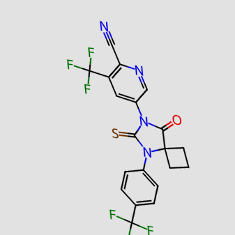 N#Cc1ncc(N2C(=O)C3(CCC3)N(c3ccc(C(F)(F)F)cc3)C2=S)cc1C(F)(F)F